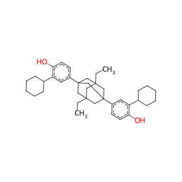 CCC12CC3(CC)CC(c4ccc(O)c(C5CCCCC5)c4)(C1)CC(c1ccc(O)c(C4CCCCC4)c1)(C2)C3